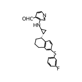 O=Cc1ccncc1NC1C[C@@H]1C1CCCc2cc(Sc3cccc(F)c3)ccc21